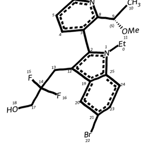 CCn1c(-c2cccnc2[C@H](C)OC)c(CC(F)(F)CO)c2cc(Br)ccc21